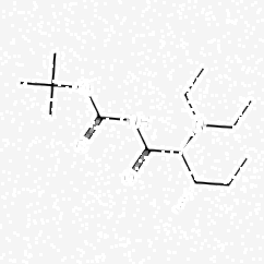 CC[C@H](C)[C@@H](C(=O)NC(=O)OC(C)(C)C)N(CC)CC